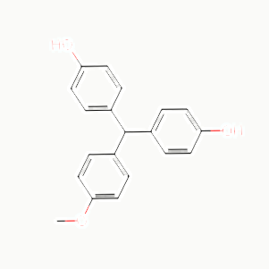 COc1ccc(C(c2ccc(O)cc2)c2ccc(O)cc2)cc1